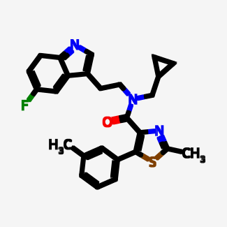 Cc1cccc(-c2sc(C)nc2C(=O)N(CCC2=CN=C3CC=C(F)C=C23)CC2CC2)c1